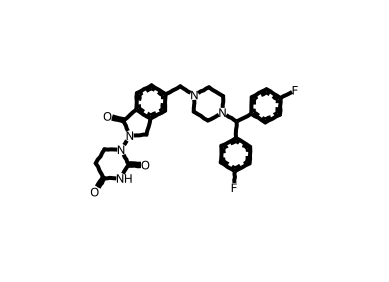 O=C1CCN(N2Cc3cc(CN4CCN(C(c5ccc(F)cc5)c5ccc(F)cc5)CC4)ccc3C2=O)C(=O)N1